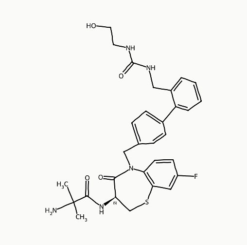 CC(C)(N)C(=O)N[C@@H]1CSc2cc(F)ccc2N(Cc2ccc(-c3ccccc3CNC(=O)NCCO)cc2)C1=O